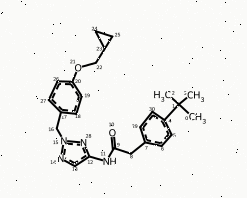 CC(C)(C)c1ccc(CC(=O)Nc2cnn(Cc3ccc(OCC4CC4)cc3)n2)cc1